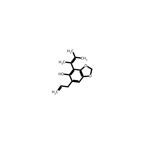 C=CCc1cc2c(c(C(C)=C(C)C)c1O)OCO2